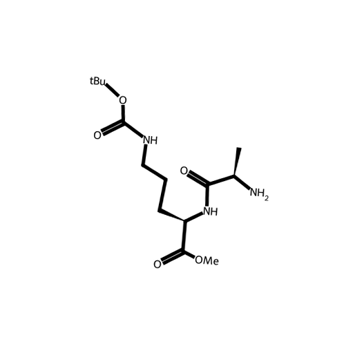 COC(=O)[C@@H](CCCNC(=O)OC(C)(C)C)NC(=O)[C@@H](C)N